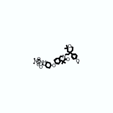 COc1ccc(C2(CCN(Cc3ccc(O[C@H]4CC[C@H](C(=O)NS(=O)(=O)N(C)C)CC4)cc3)C(=O)C(C)(C)C)CCOC(C)(C)C2)cc1